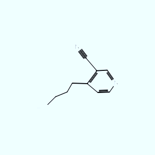 N#Cc1cnccc1CCCO